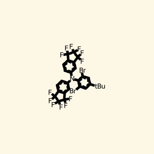 CC(C)(C)c1cc(Br)c(N(c2ccc3c(c2)C(F)(F)C(F)(F)C3(F)F)c2ccc3c(c2)C(F)(F)C(F)(F)C3(F)F)c(Br)c1